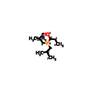 CCC(O)P(CC(C)C)CC(C)C